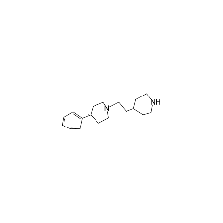 c1ccc([C]2CCN(CCC3CCNCC3)CC2)cc1